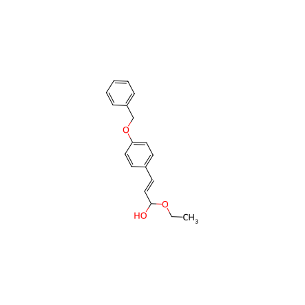 CCOC(O)/C=C/c1ccc(OCc2ccccc2)cc1